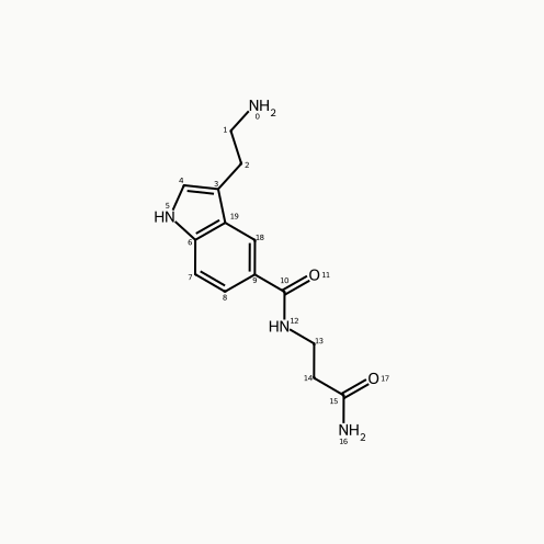 NCCc1c[nH]c2ccc(C(=O)NCCC(N)=O)cc12